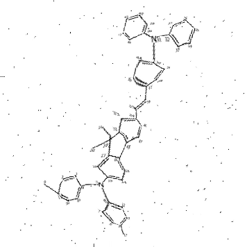 Cc1ccc(N(c2ccc(C)cc2)c2ccc3c(c2)C(C)(C)c2cc(/C=C/c4ccc(N(c5ccccc5)c5ccccc5)cc4)ccc2-3)cc1